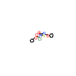 O=C(OCc1ccccc1)C(Cl)N1C(=O)C2=NC(COc3ccccc3)SC21